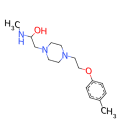 CNC(O)CN1CCN(CCOc2ccc(C)cc2)CC1